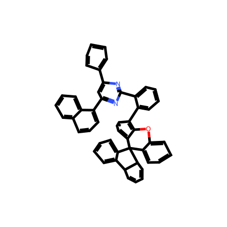 C1=CC2c3ccccc3C3(c4ccccc4Oc4c(-c5ccccc5-c5nc(-c6ccccc6)cc(-c6cccc7ccccc67)n5)cccc43)C2C=C1